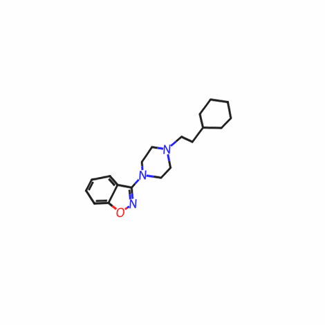 c1ccc2c(N3CCN(CCC4CCCCC4)CC3)noc2c1